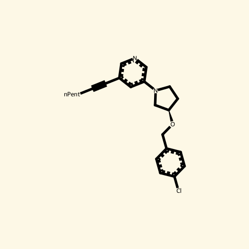 CCCCCC#Cc1cncc(N2CC[C@@H](OCc3ccc(Cl)cc3)C2)c1